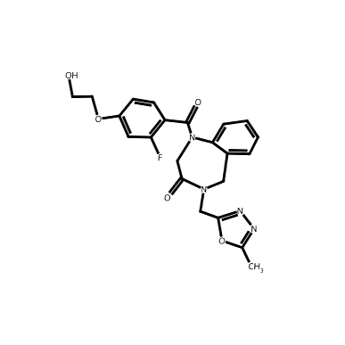 Cc1nnc(CN2Cc3ccccc3N(C(=O)c3ccc(OCCO)cc3F)CC2=O)o1